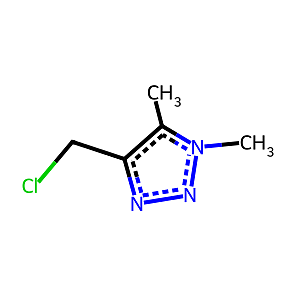 Cc1c(CCl)nnn1C